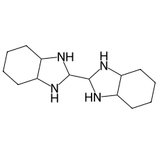 C1CCC2NC(C3NC4CCCCC4N3)NC2C1